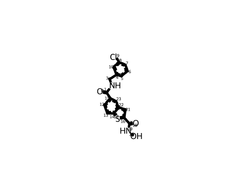 O=C(NCc1cccc(Cl)c1)c1ccc2sc(C(=O)NO)cc2c1